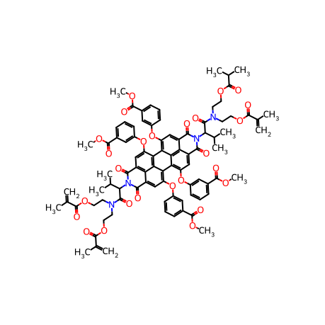 C=C(C)C(=O)OCCN(CCOC(=O)C(=C)C)C(=O)C(C(C)C)N1C(=O)c2cc(Oc3cccc(C(=O)OC)c3)c3c4c(Oc5cccc(C(=O)OC)c5)cc5c6c(cc(Oc7cccc(C(=O)OC)c7)c(c7c(Oc8cccc(C(=O)OC)c8)cc(c2c37)C1=O)c64)C(=O)N(C(C(=O)N(CCOC(=O)C(=C)C)CCOC(=O)C(C)C)C(C)C)C5=O